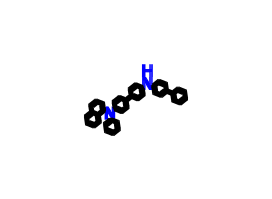 c1ccc(-c2ccc(Nc3ccc(-c4ccc(N(c5ccccc5)c5cccc6ccccc56)cc4)cc3)cc2)cc1